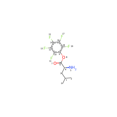 CC(C)C[C@H](N)C(=O)Oc1c(F)c(F)c(F)c(F)c1F